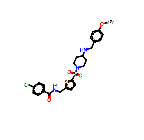 CCCOc1ccc(CNC2CCN(S(=O)(=O)c3ccc(CNC(=O)c4ccc(Cl)cc4)s3)CC2)cc1